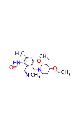 CCOC1CCN(Cc2c(OC)cc(C)c(NC=O)c2/C=N\C)CC1